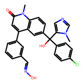 Cn1cncc1C(O)(c1ccc(Cl)cc1)c1ccc2c(c1)c(-c1cccc(C=NO)c1)cc(=O)n2C